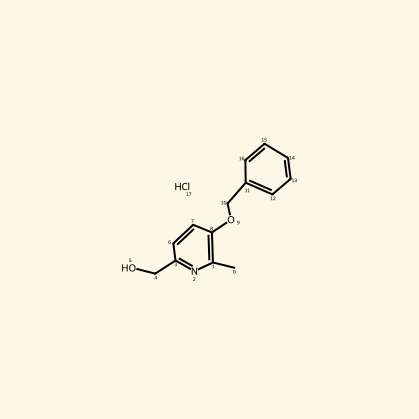 Cc1nc(CO)ccc1OCc1ccccc1.Cl